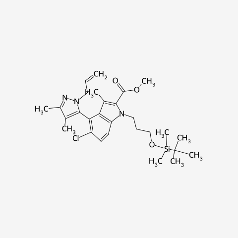 C=CCn1nc(C)c(C)c1-c1c(Cl)ccc2c1c(C)c(C(=O)OC)n2CCCO[Si](C)(C)C(C)(C)C